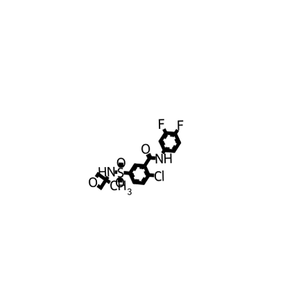 CC1(NS(=O)(=O)c2ccc(Cl)c(C(=O)Nc3ccc(F)c(F)c3)c2)COC1